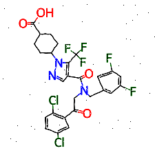 O=C(CN(Cc1cc(F)cc(F)c1)C(=O)c1cnn(C2CCC(C(=O)O)CC2)c1C(F)(F)F)c1cc(Cl)ccc1Cl